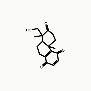 CC1(CO)C(=O)CCC2(C)C3=C(CCC12)C(=O)C=CC3=O